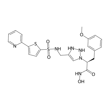 COc1cccc(C[C@@H](C(=O)NO)N2C=C(CNS(=O)(=O)c3ccc(-c4ccccn4)s3)NN2)c1